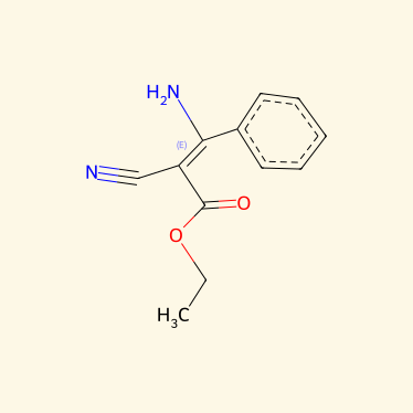 CCOC(=O)/C(C#N)=C(/N)c1ccccc1